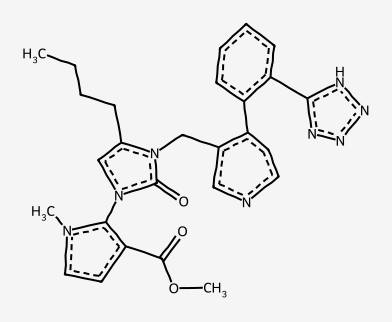 CCCCc1cn(-c2c(C(=O)OC)ccn2C)c(=O)n1Cc1cnccc1-c1ccccc1-c1nnn[nH]1